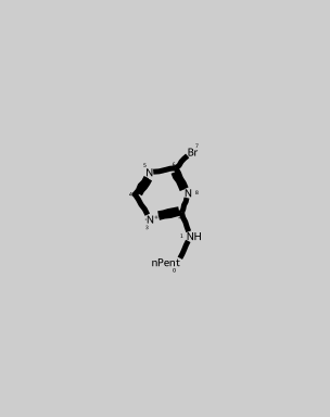 CCCCCNC1=[N+]C=NC(Br)=N1